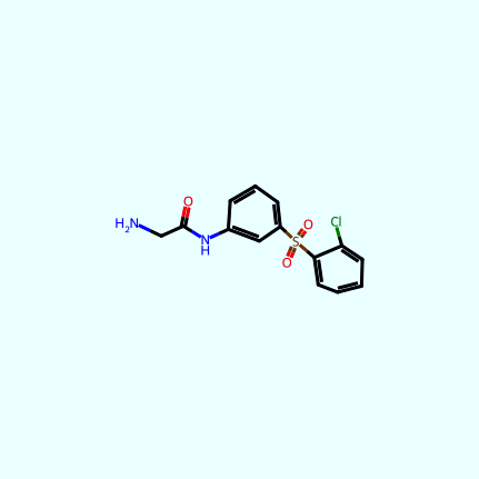 NCC(=O)Nc1cccc(S(=O)(=O)c2ccccc2Cl)c1